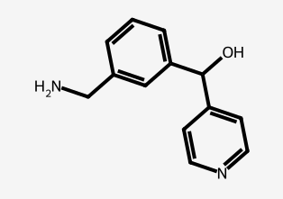 NCc1cccc(C(O)c2ccncc2)c1